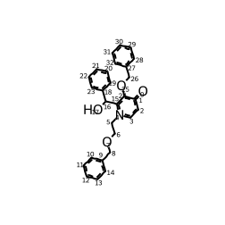 O=c1ccn(CCOCc2ccccc2)c(C(O)c2ccccc2)c1OCc1ccccc1